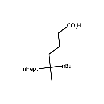 CCCCCCCC(C)(CCCC)CCCC(=O)O